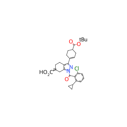 CC(C)(C)OC(=O)C1CC=C(c2nn(C(=O)c3c(Cl)cccc3C3CC3)c3c2CC[C@H](C(=O)O)C3)CC1